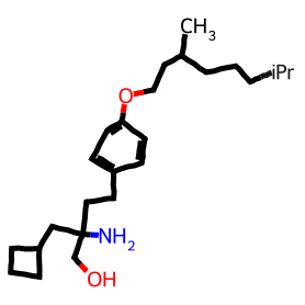 CC(C)CCCC(C)CCOc1ccc(CCC(N)(CO)CC2CCC2)cc1